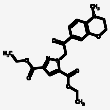 CCOC(=O)c1cc(C(=O)OCC)n(CC(=O)c2ccc3c(c2)OCCN3C)n1